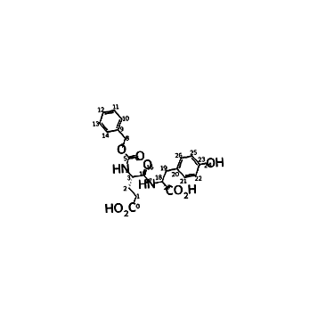 O=C(O)CC[C@H](NC(=O)OCc1ccccc1)C(=O)NC(Cc1ccc(O)cc1)C(=O)O